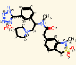 CN(C(=O)Cc1ccc2c(c1)N(C)S(=O)(=O)C2)C(CN1CC[C@H](O)C1)c1cccc(-c2nnn[nH]2)c1